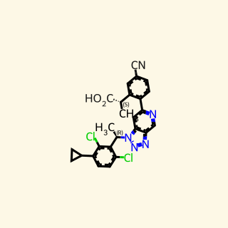 C[C@H](C(=O)O)c1cc(C#N)ccc1-c1cc2c(cn1)nnn2[C@H](C)c1c(Cl)ccc(C2CC2)c1Cl